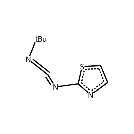 CC(C)(C)N=C=Nc1nccs1